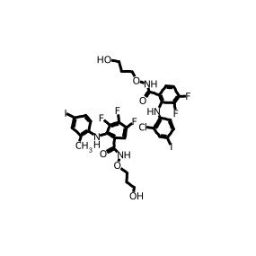 Cc1cc(I)ccc1Nc1c(C(=O)NOCCCO)cc(F)c(F)c1F.O=C(NOCCCO)c1ccc(F)c(F)c1Nc1ccc(I)cc1Cl